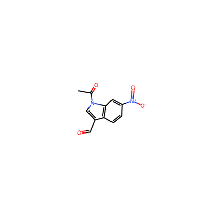 CC(=O)n1cc(C=O)c2ccc([N+](=O)[O-])cc21